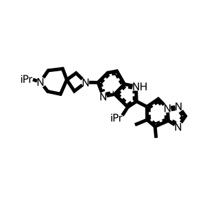 Cc1c(-c2[nH]c3ccc(N4CC5(CCN(C(C)C)CC5)C4)nc3c2C(C)C)cn2ncnc2c1C